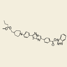 CCCC(OC)OCC1CCN(c2ccc(-c3nn4cc(-c5ccc(C(=O)On6nnc7ccccc76)cc5)nc4s3)cc2)CC1